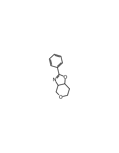 c1ccc(C2=NC3COCCC3O2)cc1